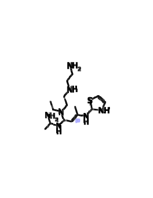 CCN(CCNCCN)C(/C=C(\C)NC1NC=CS1)NC(C)N